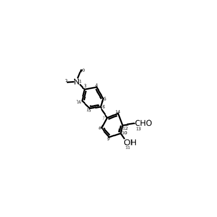 CN(C)c1ccc(-c2ccc(O)c(C=O)c2)cc1